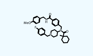 COc1ccc(CNC(=O)c2ccc(CN(C(=O)C3(C)CCCCC3)C3CCN(Cc4ccc(F)cc4)CC3)cc2)cc1